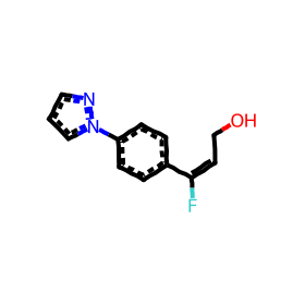 OC/C=C(/F)c1ccc(-n2cccn2)cc1